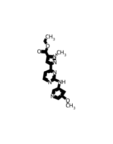 CCOC(=O)c1cc(-c2ccnc(Nc3cncc(OC)c3)n2)nn1C